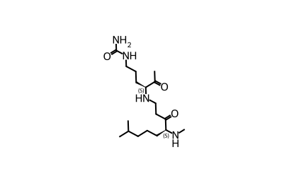 CN[C@@H](CCCC(C)C)C(=O)CCN[C@@H](CCCNC(N)=O)C(C)=O